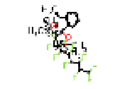 C=Cc1ccccc1[Si](O[Si](C)(C)C)(O[Si](C)(C)C)C(F)C(F)(F)C(F)C(F)C(F)C(F)C(F)C(F)F